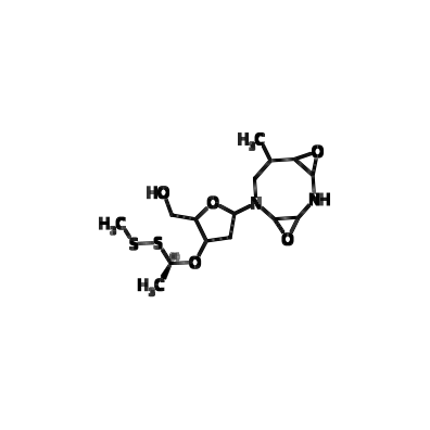 CSS[C@H](C)OC1CC(N2CC(C)C3OC3NC3OC32)OC1CO